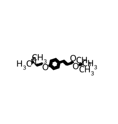 CN(C)CCOc1ccc(C=CC(=O)OC(C)(C)C)cc1